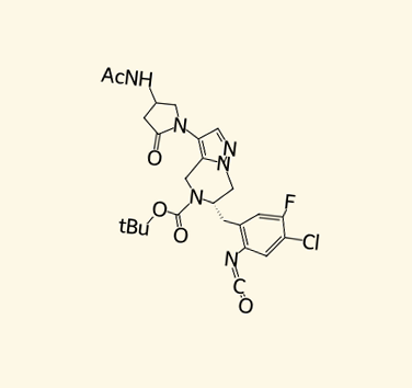 CC(=O)NC1CC(=O)N(c2cnn3c2CN(C(=O)OC(C)(C)C)[C@@H](Cc2cc(F)c(Cl)cc2N=C=O)C3)C1